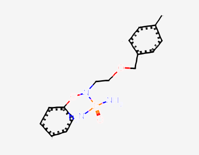 Cc1ccc(COCCN(Oc2ccccc2)P(N)(N)=O)cc1